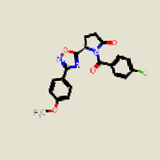 O=C1CC[C@H](c2nc(-c3ccc(OC(F)(F)F)cc3)no2)N1C(=O)c1ccc(Cl)cc1